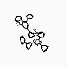 c1ccc(-c2cccc(-c3nc(-c4ccccc4)nc(-c4cccc5sc6c(-c7cc(-c8ccccc8)c8c(c7)oc7ccccc78)cccc6c45)n3)c2)cc1